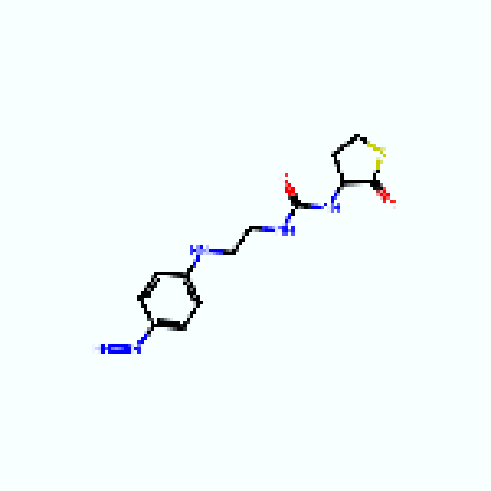 N=Nc1ccc(NCCNC(=O)NC2CCSC2=O)cc1